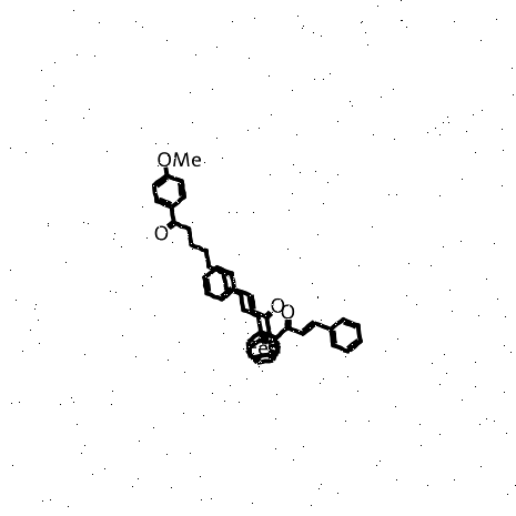 COc1ccc(C(=O)CCCCCCCCC[C]23[CH]4[CH]5[CH]6[C]2(C(=O)C=Cc2ccccc2)[Fe]54632789[CH]3[CH]2[CH]7[C]8(C(=O)C=Cc2ccccc2)[CH]39)cc1